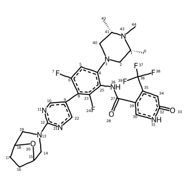 C[C@@H]1CN(c2cc(F)c(-c3cnc(N4CC5CCC(C4)O5)nc3)c(F)c2NC(=O)c2c[nH]c(=O)cc2C(F)(F)F)C[C@H](C)N1C